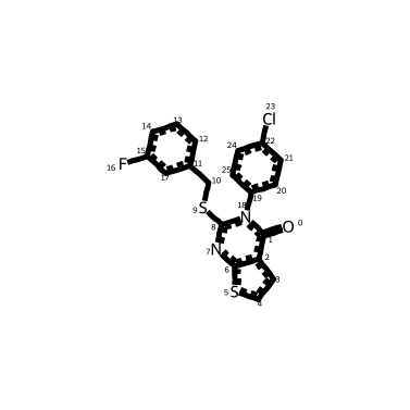 O=c1c2ccsc2nc(SCc2cccc(F)c2)n1-c1ccc(Cl)cc1